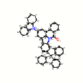 O=c1c2ccccc2c2cc(-n3c4c(c5ccccc53)C=CCC4)cc3c4ccc5c(c4n1c23)-c1ccccc1C51c2ccccc2-c2ccccc21